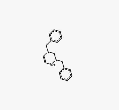 C1=CN(Cc2ccccc2)CN(Cc2ccccc2)N1